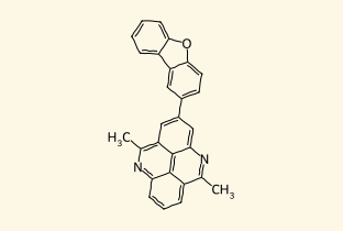 Cc1nc2cc(-c3ccc4oc5ccccc5c4c3)cc3c(C)nc4cccc1c4c23